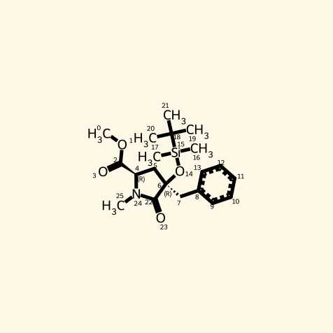 COC(=O)[C@H]1C[C@@](Cc2ccccc2)(O[Si](C)(C)C(C)(C)C)C(=O)N1C